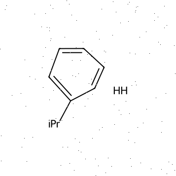 CC(C)c1ccccc1.[HH]